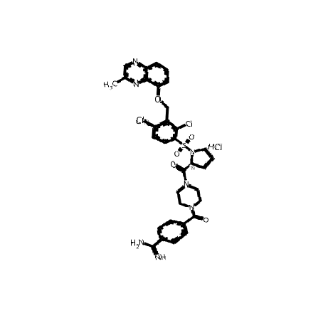 Cc1cnc2cccc(OCc3c(Cl)ccc(S(=O)(=O)N4CCC[C@H]4C(=O)N4CCN(C(=O)c5ccc(C(=N)N)cc5)CC4)c3Cl)c2n1.Cl